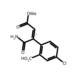 COC(=O)/C=C(\C(N)=O)c1ccc(Cl)cc1C(=O)O